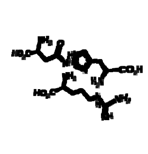 N=C(N)NCCC[C@H](N)C(=O)O.NC(=O)C[C@H](N)C(=O)O.N[C@@H](Cc1c[nH]cn1)C(=O)O